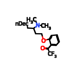 CCCCCCCCCCCC(CCOc1ccccc1C(=O)C(F)(F)F)N(C)C